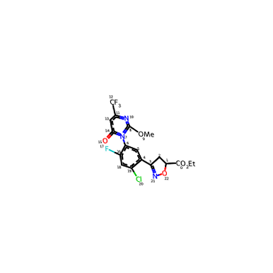 CCOC(=O)C1CC(c2cc(-n3c(OC)nc(C(F)(F)F)cc3=O)c(F)cc2Cl)=NO1